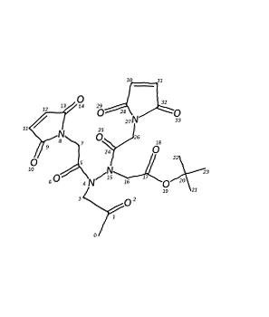 CC(=O)CN(C(=O)CN1C(=O)C=CC1=O)N(CC(=O)OC(C)(C)C)C(=O)CN1C(=O)C=CC1=O